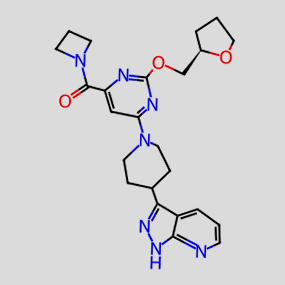 O=C(c1cc(N2CCC(c3n[nH]c4ncccc34)CC2)nc(OC[C@H]2CCCO2)n1)N1CCC1